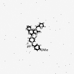 COc1ccc([C@H](C(C)C)N2C[C@H](C)N(c3nc4nncn4c4c3nc(C)n4CC3CCCO3)C[C@H]2C)cc1